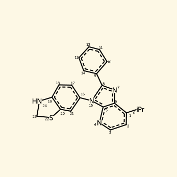 CC(C)c1ccnc2c1nc(-c1ccccc1)n2-c1ccc2c(c1)SCN2